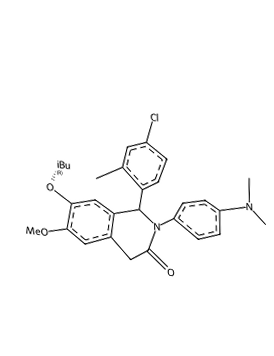 CC[C@@H](C)Oc1cc2c(cc1OC)CC(=O)N(c1ccc(N(C)C)cc1)C2c1ccc(Cl)cc1C